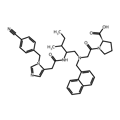 CCC(C)C(CN(CC(=O)N1CCC[C@@H]1C(=O)O)Cc1cccc2ccccc12)NC(=O)Cc1cncn1Cc1ccc(C#N)cc1